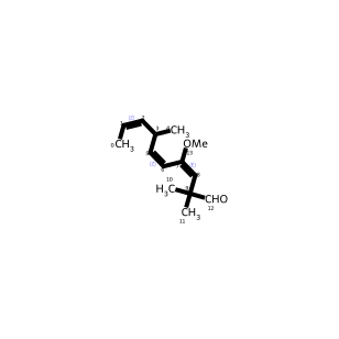 C/C=C\C(C)/C=C\C(=C/C(C)(C)C=O)OC